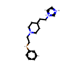 c1ccc(SCCN2CCC(CCn3ccnc3)CC2)cc1